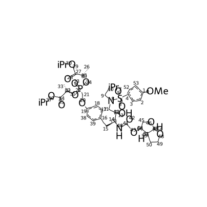 COc1ccc(S(=O)(=O)N(CC(C)C)C[C@@H](O)[C@H](Cc2ccc(OCP(=O)(O[C@@H](C)C(=O)OC(C)C)O[C@@H](C)C(=O)OC(C)C)cc2)NC(=O)O[C@H]2CO[C@H]3OCC[C@H]32)cc1